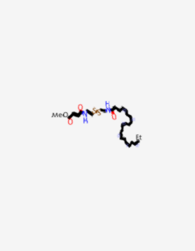 CC/C=C\C/C=C\C/C=C\C/C=C\C/C=C\C/C=C\CCC(=O)NCCSSCCNC(=O)C=CC(=O)OC